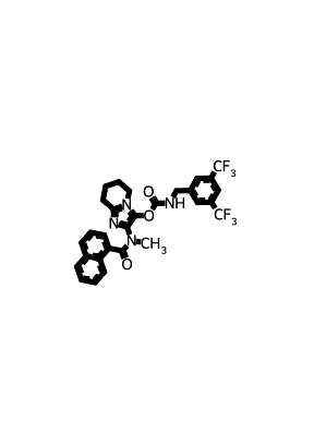 CN(C(=O)c1cccc2ccccc12)c1nc2n(c1OC(=O)NCc1cc(C(F)(F)F)cc(C(F)(F)F)c1)CCCC2